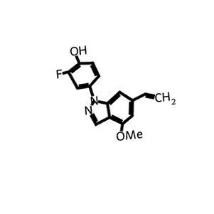 C=Cc1cc(OC)c2cnn(-c3ccc(O)c(F)c3)c2c1